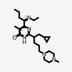 CCC/C(=N/CC)c1nc(C(CCCN2CCN(C)CC2)CC2CC2)[nH]c(=O)c1C